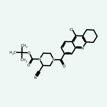 CC(C)(C)OC(=O)N1CCN(C(=O)c2ccc3c(Cl)c4c(nc3c2)CCCC4)CC1C#N